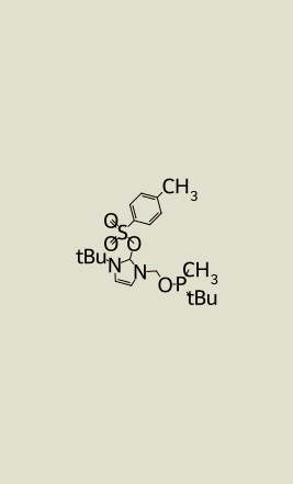 Cc1ccc(S(=O)(=O)OC2N(COP(C)C(C)(C)C)C=CN2C(C)(C)C)cc1